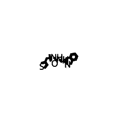 CN1Cc2ccccc2C[C@H]1CNC(=O)NC(C)(C)Cc1ccsc1